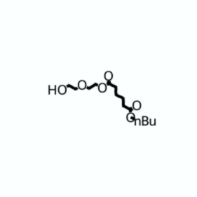 CCCCOC(=O)CCCCC(=O)OCCOCCO